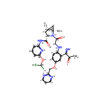 CC(=O)C(=N)c1cc(OCc2ncccn2)ccc1NCC(=O)N1[C@@H]2C[C@@H]2C[C@H]1C(=O)Nc1cccc(OC(F)F)n1